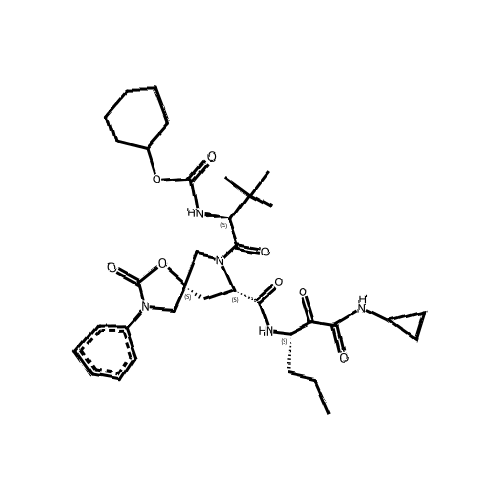 CCC[C@H](NC(=O)[C@@H]1C[C@@]2(CN(c3ccccc3)C(=O)O2)CN1C(=O)[C@@H](NC(=O)OC1CCCCC1)C(C)(C)C)C(=O)C(=O)NC1CC1